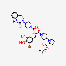 COC(=O)[C@H]1CCCN1C1CCN(C(=O)[C@@H](Cc2cc(Br)c(O)c(Br)c2)OC(=O)N2CCC(N3CCc4ccccc4NC3=O)CC2)CC1